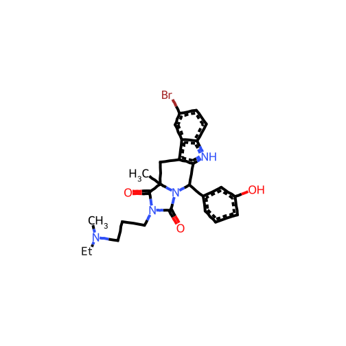 CCN(C)CCCN1C(=O)N2C(c3cccc(O)c3)c3[nH]c4ccc(Br)cc4c3CC2(C)C1=O